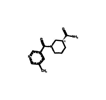 Cc1cncc(C(=O)N2CCC[C@@H](C(N)=O)C2)c1